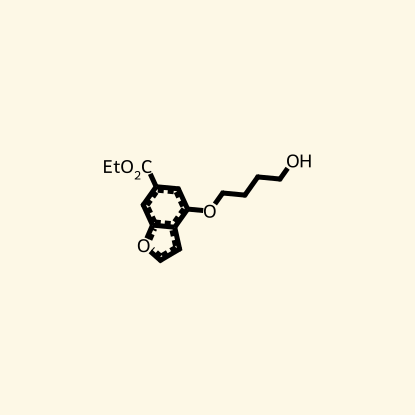 CCOC(=O)c1cc(OCCCCO)c2ccoc2c1